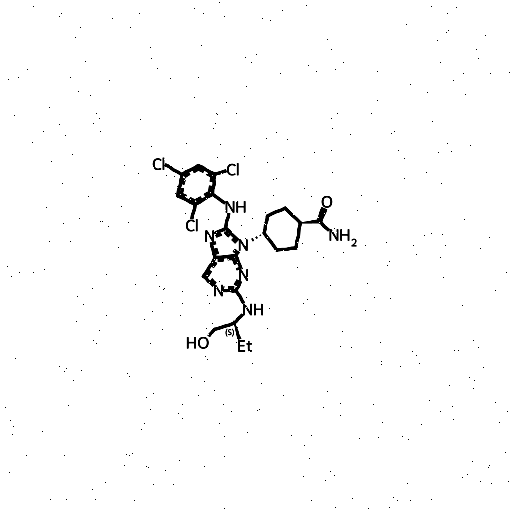 CC[C@@H](CO)Nc1ncc2nc(Nc3c(Cl)cc(Cl)cc3Cl)n([C@H]3CC[C@H](C(N)=O)CC3)c2n1